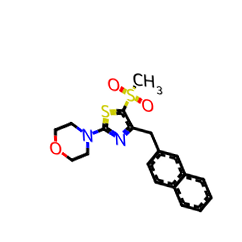 CS(=O)(=O)c1sc(N2CCOCC2)nc1Cc1ccc2ccccc2c1